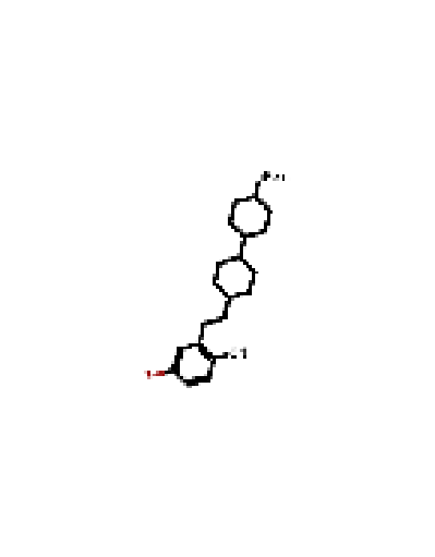 CCCCCC1CCC(C2CCC(CCc3cc(Br)ccc3C#N)CC2)CC1